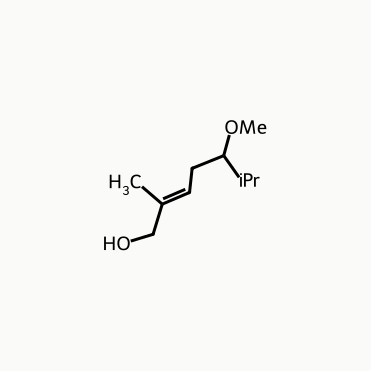 COC(C/C=C(\C)CO)C(C)C